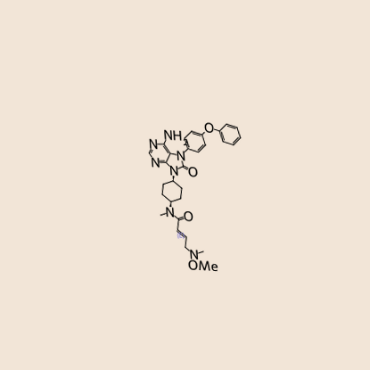 CON(C)C/C=C/C(=O)N(C)[C@H]1CC[C@@H](n2c(=O)n(-c3ccc(Oc4ccccc4)cc3)c3c(N)ncnc32)CC1